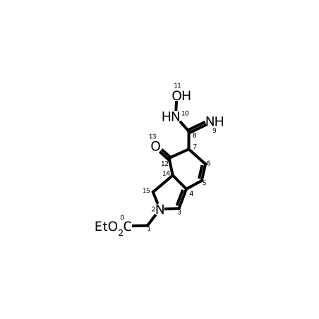 CCOC(=O)CN1C=C2C=CC(C(=N)NO)C(=O)C2C1